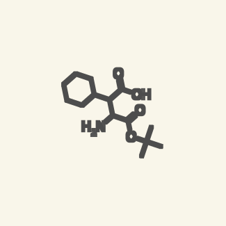 CC(C)(C)OC(=O)C(N)C(C(=O)O)C1CCCCC1